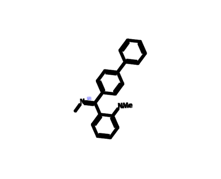 C/N=C(/c1ccc(-c2ccccc2)cc1)c1ccccc1NC